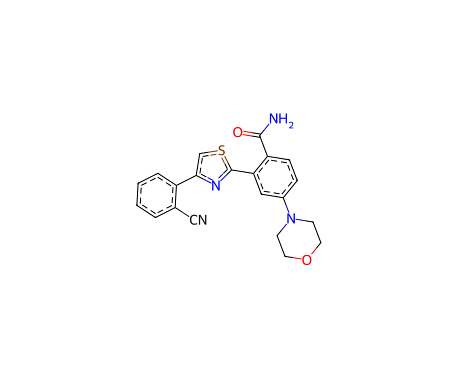 N#Cc1ccccc1-c1csc(-c2cc(N3CCOCC3)ccc2C(N)=O)n1